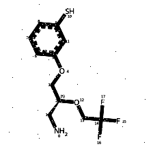 NC[C@@H](COc1cccc(S)c1)OCC(F)(F)F